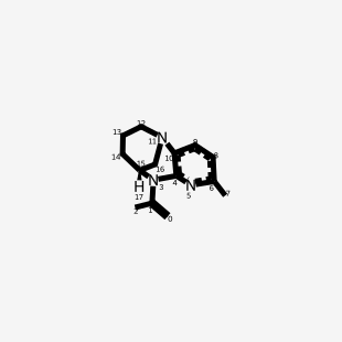 C=C(C)N1c2nc(C)ccc2N2CCC[C@@H]1C2